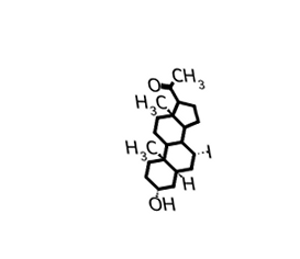 CC(=O)C1CCC2C3C(CC[C@]12C)[C@@]1(C)CC[C@@H](O)C[C@@H]1C[C@H]3I